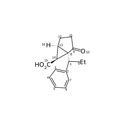 CCC(c1ccccc1)[C@@]12C(=O)CC[C@@H]1[C@@H]2C(=O)O